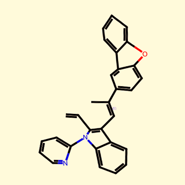 C=Cc1c(/C=C(\C)c2ccc3oc4ccccc4c3c2)c2ccccc2n1-c1ccccn1